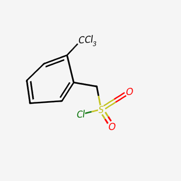 O=S(=O)(Cl)Cc1ccccc1C(Cl)(Cl)Cl